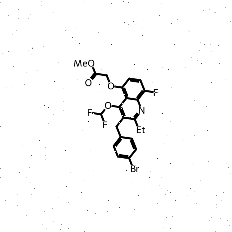 CCc1nc2c(F)ccc(OCC(=O)OC)c2c(OC(F)F)c1Cc1ccc(Br)cc1